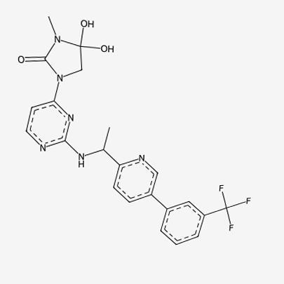 CC(Nc1nccc(N2CC(O)(O)N(C)C2=O)n1)c1ccc(-c2cccc(C(F)(F)F)c2)cn1